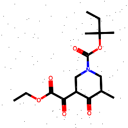 CCOC(=O)C(=O)C1CN(C(=O)OC(C)(C)CC)CC(C)C1=O